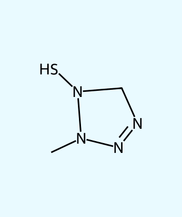 CN1N=NCN1S